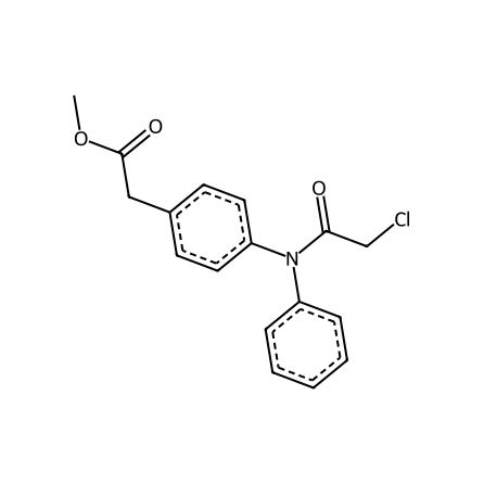 COC(=O)Cc1ccc(N(C(=O)CCl)c2ccccc2)cc1